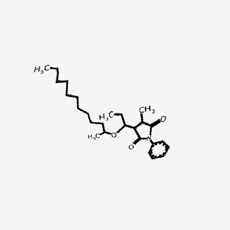 CCCCCCCCCCC(C)OC(CC)C1C(=O)N(c2ccccc2)C(=O)C1C